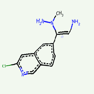 CN(N)/C(=C\N)c1ccc2cnc(Cl)cc2c1